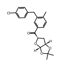 Cc1ccc(C(=O)[C@H]2C[C@@H]3OC(C)(C)O[C@@H]3O2)cc1Cc1ccc(Cl)cc1